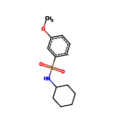 COc1cc[c]c(S(=O)(=O)NC2CCCCC2)c1